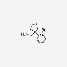 NCC1(c2ccccc2Br)CCCC1